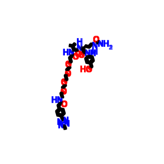 Cc1nnc(-c2ccc(CC(=O)NCCOCCOCCOCCOCCC(=O)N[C@H](C(=O)N[C@@H](CCCNC(N)=O)C(=O)Nc3ccc(CO)cc3)C(C)C)cc2)nn1